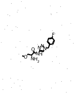 COC[C@H](N)C(=O)Nc1cn(Cc2ccc(F)cc2)nn1